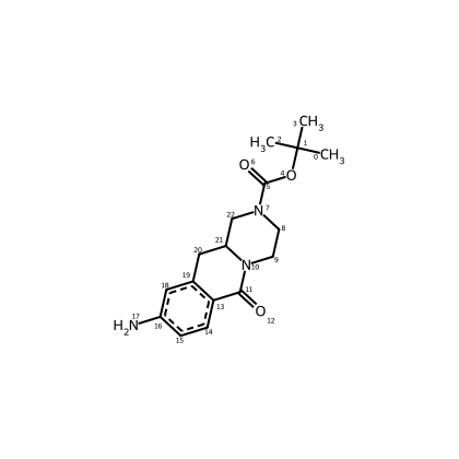 CC(C)(C)OC(=O)N1CCN2C(=O)c3ccc(N)cc3CC2C1